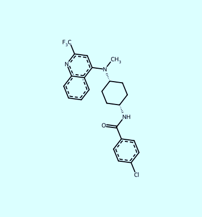 CN(c1cc(C(F)(F)F)nc2ccccc12)[C@H]1CC[C@@H](NC(=O)c2ccc(Cl)cc2)CC1